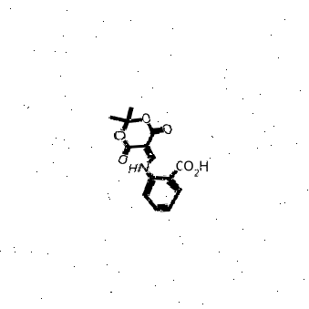 CC1(C)OC(=O)C(=CNc2ccccc2C(=O)O)C(=O)O1